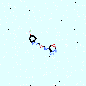 NC1=C(NCOCNc2ccc(OF)cc2)COCN1